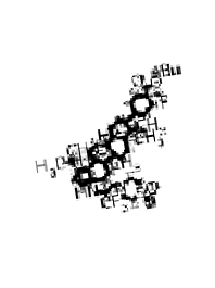 C=C(C)[C@@H]1CC[C@]2(NC(CN3CCS(=O)(=O)CC3)C(F)(F)F)CC[C@]3(C)[C@H](CC[C@@H]4[C@@]5(C)CC=C(C6=CC[C@](CF)(C(=O)OCCCC)CC6)C(C)(C)[C@@H]5CC[C@]43C)[C@@H]12